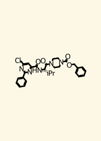 CC(C)[C@H](NC(=O)c1cc(Cl)nc(-c2ccccc2)n1)C(=O)N1CCN(C(=O)OCc2ccccc2)CC1